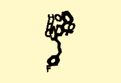 CC(CCCc1ccc(F)cc1)C1CC2=C(CN1)c1c(O)cccc1OC2(C)C.Cl